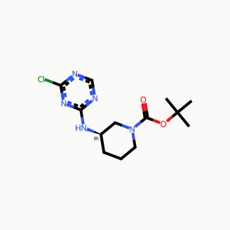 CC(C)(C)OC(=O)N1CCC[C@@H](Nc2ncnc(Cl)n2)C1